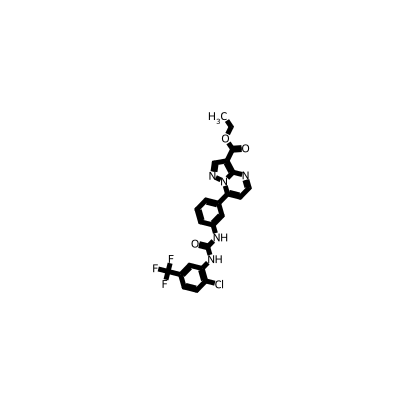 CCOC(=O)c1cnn2c(-c3cccc(NC(=O)Nc4cc(C(F)(F)F)ccc4Cl)c3)ccnc12